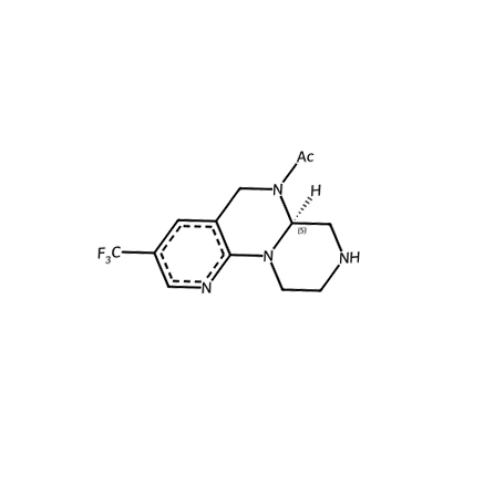 CC(=O)N1Cc2cc(C(F)(F)F)cnc2N2CCNC[C@H]12